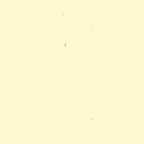 CC(N)C(C(=O)Nc1cnccc1-c1ncc(C(=O)N2CCN(C)CC2)cc1Cl)C1NCC(F)CN1N=O